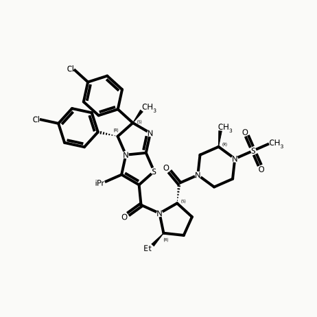 CC[C@@H]1CC[C@@H](C(=O)N2CCN(S(C)(=O)=O)[C@H](C)C2)N1C(=O)C1=C(C(C)C)N2C(=N[C@@](C)(c3ccc(Cl)cc3)[C@H]2c2ccc(Cl)cc2)S1